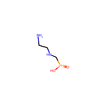 NCCNC[PH](=O)O